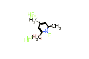 B.CC1=CC(C)N(F)C(C)=C1.F.F.F.F